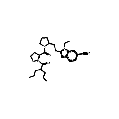 CCCC(CCC)C(=O)N1CCCC1C(=O)N1CCCC1CCc1cc2ccc(C#N)cc2n1CC